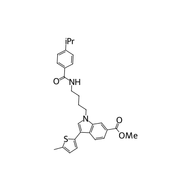 COC(=O)c1ccc2c(-c3ccc(C)s3)cn(CCCCNC(=O)c3ccc(C(C)C)cc3)c2c1